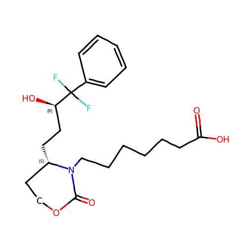 O=C(O)CCCCCCN1C(=O)OCC[C@@H]1CC[C@@H](O)C(F)(F)c1ccccc1